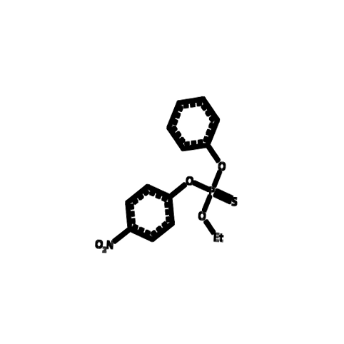 CCOP(=S)(Oc1ccccc1)Oc1ccc([N+](=O)[O-])cc1